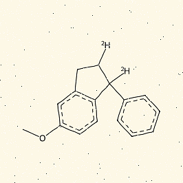 [2H]C1Cc2cc(OC)ccc2C1([2H])c1ccccc1